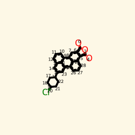 O=c1oc(=O)c2c1cc1c3cccc4cc(C5CCC(Cl)CC5)cc(c5cccc2c51)c43